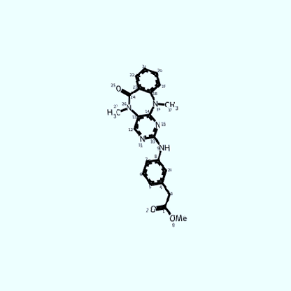 COC(=O)Cc1cccc(Nc2ncc3c(n2)N(C)c2ccccc2C(=O)N3C)c1